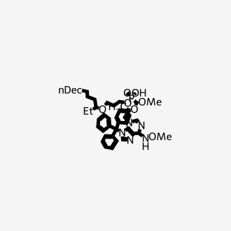 CCCCCCCCCCCCCC(CC)OCCCOP(=O)(O)[C@@H](OC)OC(C)CN1C=NC(NOC)c2ncn(C(c3ccccc3)(c3ccccc3)c3ccccc3)c21